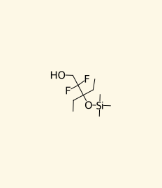 CCC(CC)(O[Si](C)(C)C)C(F)(F)CO